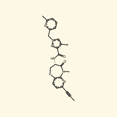 CC#Cc1ccc2c(n1)N(C)C(=O)[C@@H](NC(=O)c1nn(Cc3cccc(C)n3)cc1F)CO2